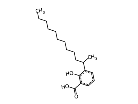 CCCCCCCCCCC(C)c1cccc(C(=O)O)c1O